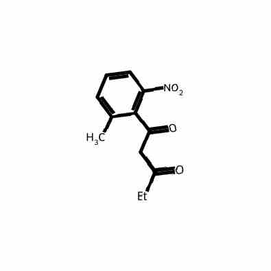 CCC(=O)CC(=O)c1c(C)cccc1[N+](=O)[O-]